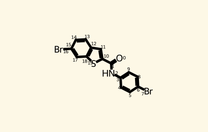 O=C(Nc1ccc(Br)cc1)c1cc2ccc(Br)cc2s1